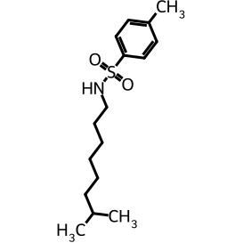 Cc1ccc(S(=O)(=O)NCCCCCCC(C)C)cc1